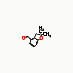 CC1(C)Cc2c(C=O)cccc2O1